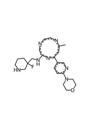 Cc1cc(-c2ccc(N3CCOCC3)nc2)nc(NCC2(F)CCCNC2)cnccn1